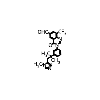 Cn1cnnc1CC(C)(C)c1cccc(-n2cnc3c(C(F)(F)F)cc(C=O)cc3c2=O)c1